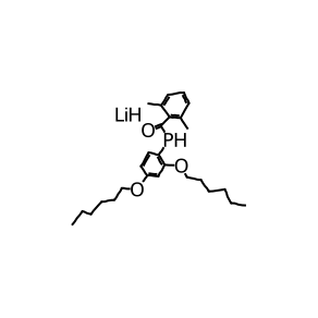 CCCCCCOc1ccc(PC(=O)c2c(C)cccc2C)c(OCCCCCC)c1.[LiH]